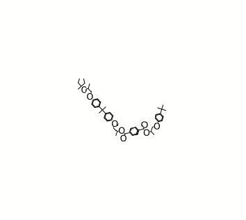 CCC(C)(CC)OC(C)COc1ccc(C(C)(C)c2ccc(OCC(C)OC(=O)c3ccc(C(=O)OC(C)COc4ccc(C(C)(C)C)cc4)cc3)cc2)cc1